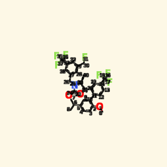 COc1ccc(C(C)C)cc1-c1ccc(C(F)(F)F)cc1[C@@H]1OC(=O)N(Cc2cc(CF)cc(C(F)(F)F)c2)[C@H]1C